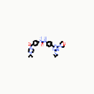 CC(C)N1CCN(C(=O)c2ccc(NC(=O)Nc3ccc(-c4nc(N5CCC5)nc(N5CCOCC5)n4)cc3)cc2)CC1